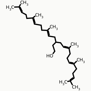 CC(C)=CCC/C(C)=C/CC/C(C)=C/CC(C/C=C(\C)CC/C=C(\C)CCC=C(C)C)CCO